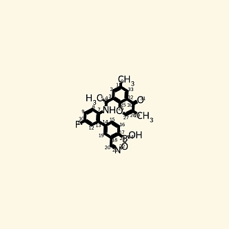 Cc1cc([C@H](C)Nc2ccc(F)cc2-c2ccc3c(c2)C=NOB3O)c2occ(C)c(=O)c2c1